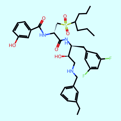 CCCC(CCC)S(=O)(=O)C[C@@H](NC(=O)c1cccc(O)c1)C(=O)N[C@@H](Cc1cc(F)cc(F)c1)[C@H](O)CNCc1cccc(CC)c1